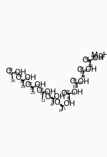 CC(=O)O.CC(=O)O.CC(=O)O.CC(=O)O.CC(=O)O.CC(=O)O.CC(=O)O.CC(=O)O.CC(=O)O.CC(=O)O.[MgH2]